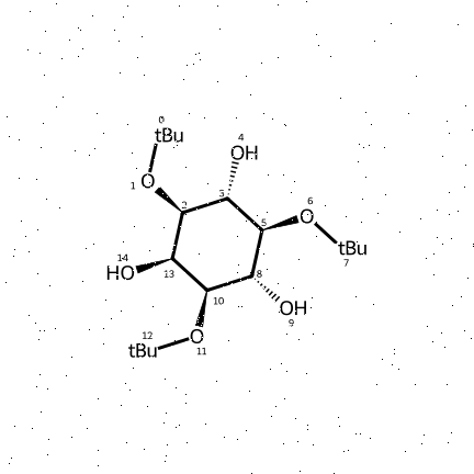 CC(C)(C)O[C@H]1[C@H](O)[C@@H](OC(C)(C)C)[C@H](O)[C@@H](OC(C)(C)C)[C@H]1O